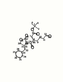 CC(C)(C)OC(=O)C[C@@H](CCCC=O)C(=O)N1C(=O)OC[C@@H]1Cc1ccccc1